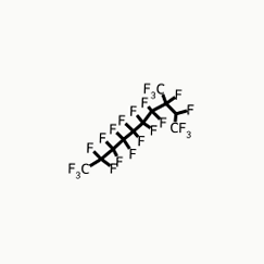 FC(C(F)(F)F)C(F)(C(F)(F)F)C(F)(F)C(F)(F)C(F)(F)C(F)(F)C(F)(F)C(F)(F)C(F)(F)F